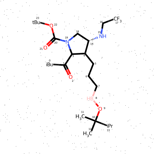 CCC(C)C(=O)C1C(CCCBOC(C)(C)C(C)C)[C@@H](NCC(F)(F)F)CN1C(=O)OC(C)(C)C